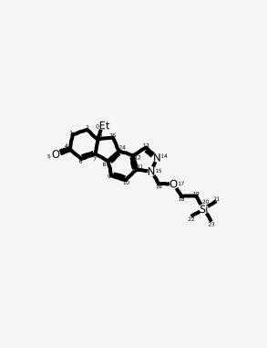 CCC12CCC(=O)C=C1c1ccc3c(cnn3COCC[Si](C)(C)C)c1C2